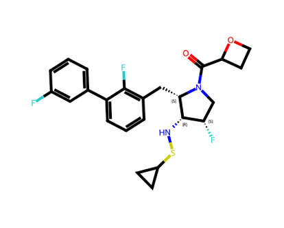 O=C(C1CCO1)N1C[C@H](F)[C@H](NSC2CC2)[C@@H]1Cc1cccc(-c2cccc(F)c2)c1F